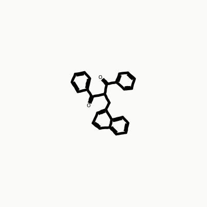 O=C(c1ccccc1)C(Cc1cccc2ccccc12)C(=O)c1ccccc1